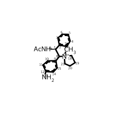 CC(=O)N[C@@H](c1ccccc1)C(c1ccc(N)cc1)[N+]1(C)CCCC1